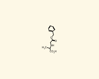 CC(NCC(=O)OCc1ccccc1)C(=O)O